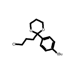 CC(C)(C)c1ccc(C2(CCCCl)OCCCO2)cc1